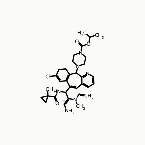 C=CN(C)/C(=C\N)C(NC(=O)C1(O)CC1)C1=Cc2cccnc2C(N2CCN(C(=O)OC(C)C)CC2)C2=C1C=C(Cl)CC2